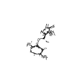 CC(C)c1ccc(C(C)C)c(OCc2n[nH]c(=S)[nH]2)c1